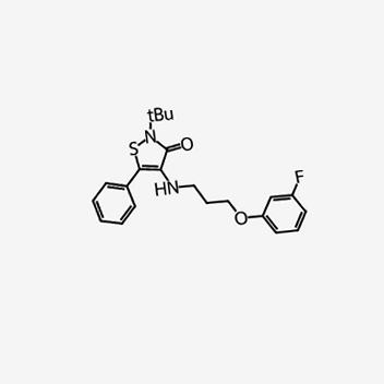 CC(C)(C)n1sc(-c2ccccc2)c(NCCCOc2cccc(F)c2)c1=O